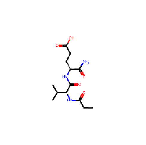 CCC(=O)N[C@H](C(=O)N[C@@H](CCC(=O)O)C(N)=O)C(C)C